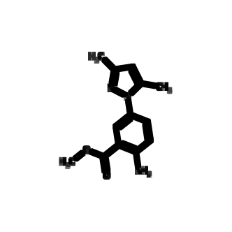 COC(=O)c1cc(-n2nc(C)cc2C)ccc1N